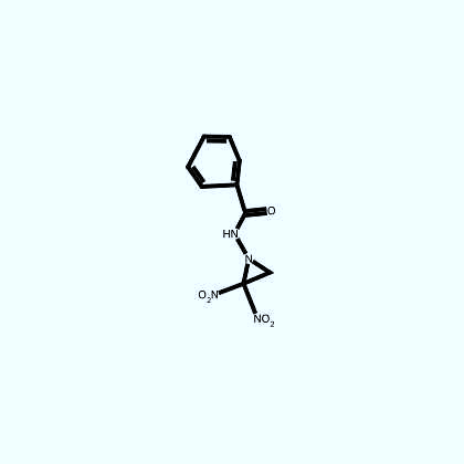 O=C(NN1CC1([N+](=O)[O-])[N+](=O)[O-])c1ccccc1